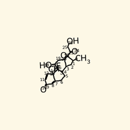 CC1CC2C3CCC4=CC(=O)C=CC4(C)C3(F)C(O)CC23OC13C(=O)CO